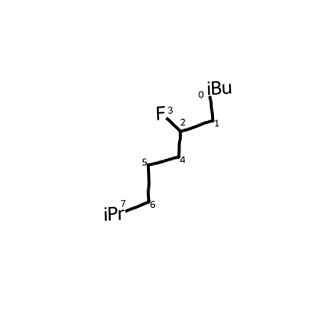 CCC(C)CC(F)CCCC(C)C